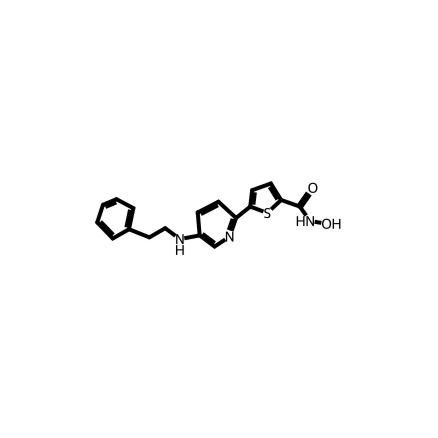 O=C(NO)c1ccc(-c2ccc(NCCc3ccccc3)cn2)s1